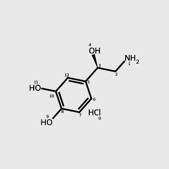 Cl.NC[C@H](O)c1ccc(O)c(O)c1